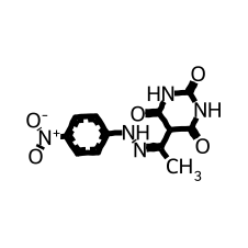 CC(=NNc1ccc([N+](=O)[O-])cc1)C1C(=O)NC(=O)NC1=O